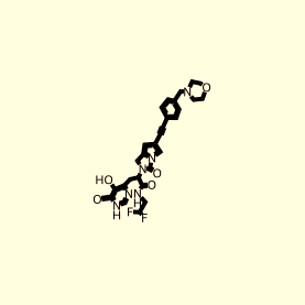 O=C(NCC(F)F)C(Cc1nc[nH]c(=O)c1O)N1Cc2cc(C#Cc3ccc(CN4CCOCC4)cc3)cn2C1=O